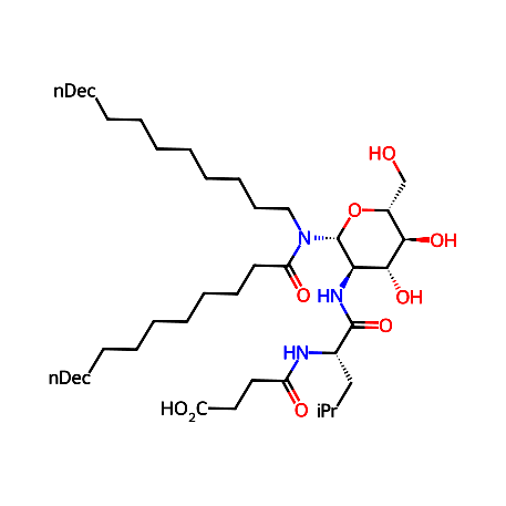 CCCCCCCCCCCCCCCCCCN(C(=O)CCCCCCCCCCCCCCCCC)[C@@H]1O[C@H](CO)[C@@H](O)[C@H](O)[C@H]1NC(=O)[C@H](CC(C)C)NC(=O)CCC(=O)O